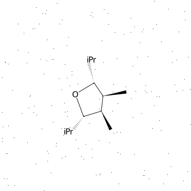 CC(C)[C@H]1O[C@@H](C(C)C)[C@H](C)[C@@H]1C